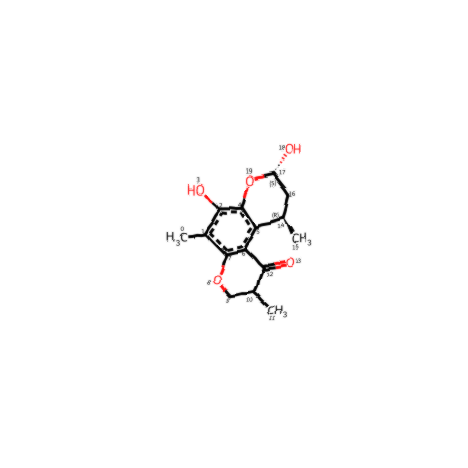 Cc1c(O)c2c(c3c1OCC(C)C3=O)[C@H](C)C[C@@H](O)O2